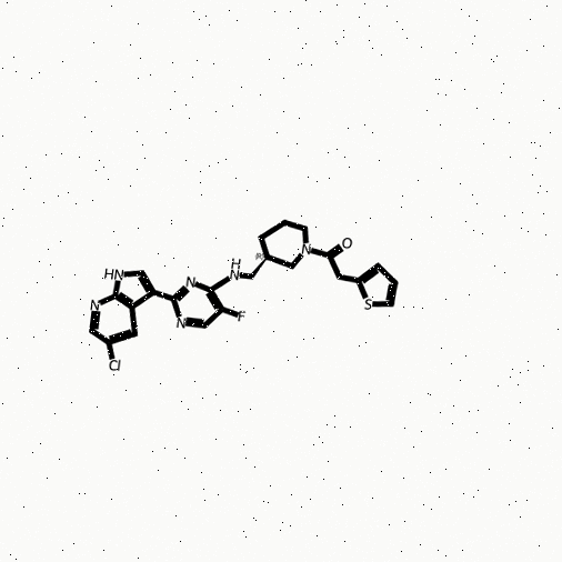 O=C(Cc1cccs1)N1CCC[C@H](CNc2nc(-c3c[nH]c4ncc(Cl)cc34)ncc2F)C1